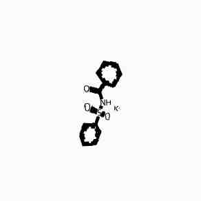 O=C(NS(=O)(=O)c1ccccc1)c1ccccc1.[K]